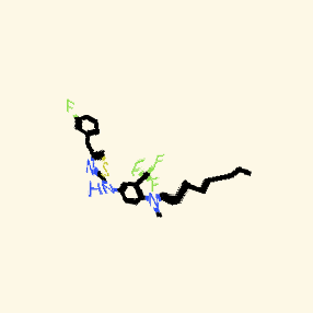 CCCCCCCCN(C)c1ccc(Nc2nc(Cc3cccc(F)c3)cs2)cc1C(F)(F)F